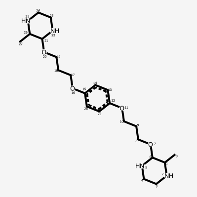 CC1NCCNC1OCCCOc1ccc(OCCCOC2NCCNC2C)cc1